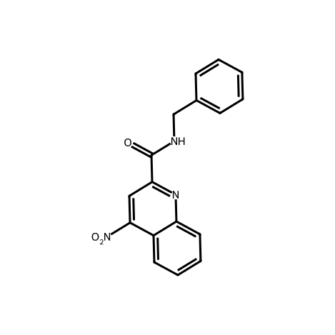 O=C(NCc1ccccc1)c1cc([N+](=O)[O-])c2ccccc2n1